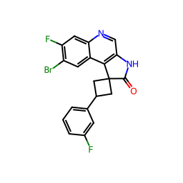 O=C1Nc2cnc3cc(F)c(Br)cc3c2C12CC(c1cccc(F)c1)C2